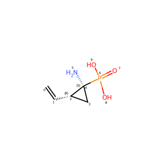 C=C[C@H]1C[C@]1(N)P(=O)(O)O